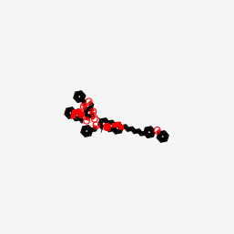 C[C@@H](OCc1ccccc1)[C@@H](OCc1ccccc1)[C@H](COC1OC2COC(c3ccccc3)OC2C(OCc2ccccc2)C1OCc1ccccc1)CC(=O)CCCCCCCCCCc1ccc(Oc2ccccc2)cc1